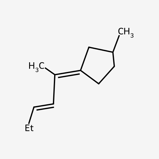 CCC=CC(C)=C1CCC(C)C1